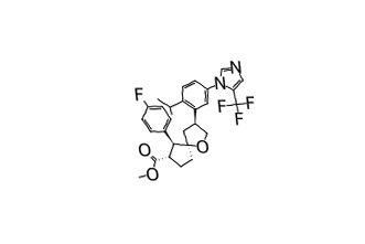 COC(=O)[C@H]1CC[C@@]2(C[C@@H](c3cc(-n4cncc4C(F)(F)F)ccc3C(C)C)CO2)[C@@H]1c1ccc(F)cc1